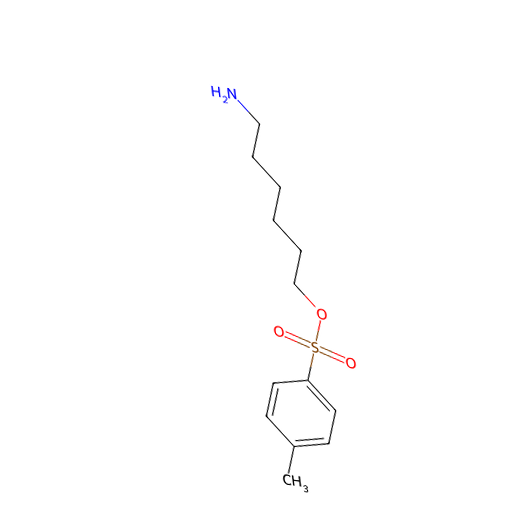 Cc1ccc(S(=O)(=O)OCCCCCCN)cc1